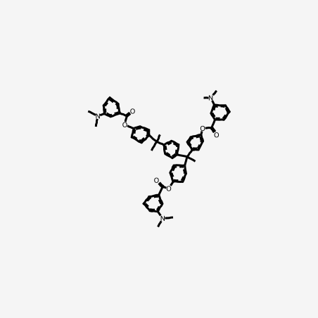 CN(C)c1cccc(C(=O)Oc2ccc(C(C)(C)c3ccc(C(C)(c4ccc(OC(=O)c5cccc(N(C)C)c5)cc4)c4ccc(OC(=O)c5cccc(N(C)C)c5)cc4)cc3)cc2)c1